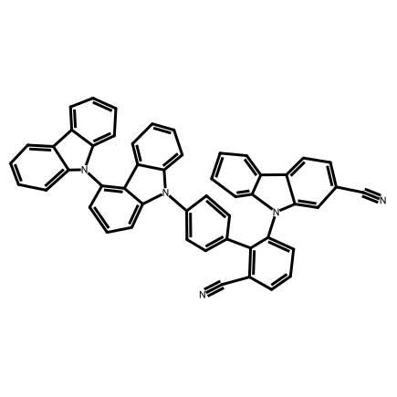 N#Cc1ccc2c3ccccc3n(-c3cccc(C#N)c3-c3ccc(-n4c5ccccc5c5c(-n6c7ccccc7c7ccccc76)cccc54)cc3)c2c1